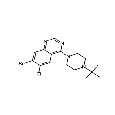 CC(C)(C)N1CCN(c2ncnc3cc(Br)c(Cl)cc23)CC1